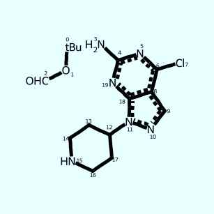 CC(C)(C)OC=O.Nc1nc(Cl)c2cnn(C3CCNCC3)c2n1